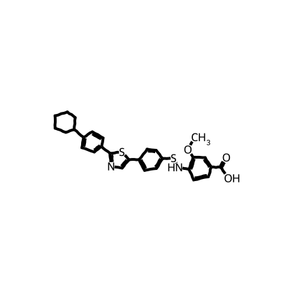 COc1cc(C(=O)O)ccc1NSc1ccc(-c2cnc(-c3ccc(C4CCCCC4)cc3)s2)cc1